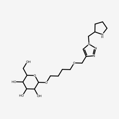 OCC1OC(OCCCCOCc2cn(CC3CCCN3)nn2)C(O)C(O)C1O